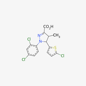 CC1C(C(=O)O)=NN(c2ccc(Cl)cc2Cl)C1c1ccc(Cl)s1